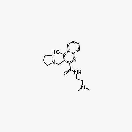 CN(C)CCNC(=O)c1nc2ccccc2c(O)c1CN1CCCC1